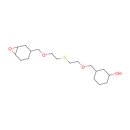 OC1CCCC(COCCSCCOCC2CCC3OC3C2)C1